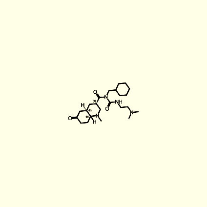 CN(C)CCNC(=O)N(CC1CCCCC1)C(=O)[C@@H]1C[C@@H]2CC(=O)CC[C@H]2N(C)C1